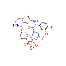 COc1cc(C(Nc2ccc3cc[nH]c(=O)c3c2)C(=O)N2CC[C@H](C(=O)O)[C@@H]2c2ccccc2S(=O)(=O)C2CC2)ccc1F